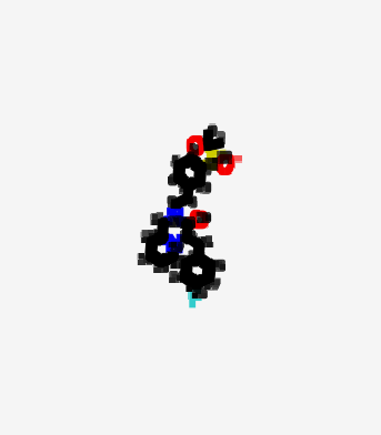 CC1(C)Oc2ccc(CCN(Cc3ccccn3)C(=O)CCc3ccc(F)cc3)cc2[S+]1[O-]